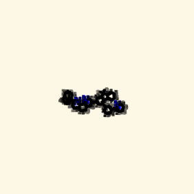 CC1(C)c2ccccc2-c2c(-c3cccc(-c4ccccn4)c3)cc(-c3cnc4c(ccc5ccc(C67CC8CC(CC(C8)C6)C7)nc54)c3)cc21